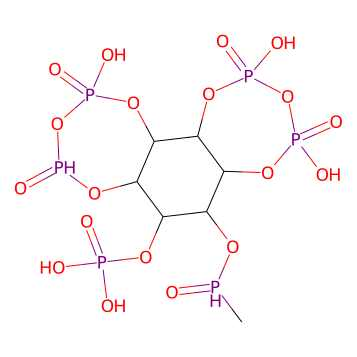 C[PH](=O)OC1C(OP(=O)(O)O)C2O[PH](=O)OP(=O)(O)OC2C2OP(=O)(O)OP(=O)(O)OC12